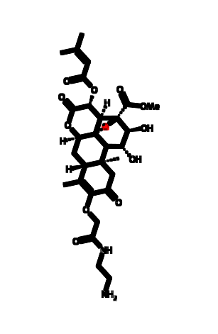 COC(=O)[C@@]12OC[C@]34C([C@@H](O)[C@@H]1O)[C@@]1(C)CC(=O)C(OCC(=O)NCCN)=C(C)[C@@H]1C[C@H]3OC(=O)[C@H](OC(=O)C=C(C)C)[C@@H]24